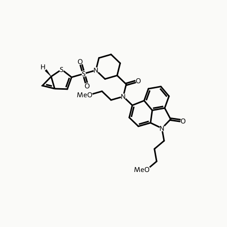 COCCCN1C(=O)c2cccc3c(N(CCOC)C(=O)C4CCCN(S(=O)(=O)C5=CC6=C[C@@H]6S5)C4)ccc1c23